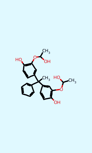 CC(O)Oc1cc(C(C)(c2ccccc2)c2ccc(O)c(OC(C)O)c2)ccc1O